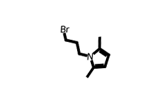 Cc1ccc(C)n1CCCBr